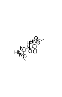 CCCS(=O)(=O)Nc1ccc(Cl)c(C(=O)Nc2cnc3[nH]nc(OC(C)C)c3c2)c1F